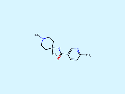 Cc1ccc(C(=O)NC2(C)CCN(C)CC2)cn1